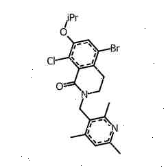 Cc1cc(C)c(CN2CCc3c(Br)cc(OC(C)C)c(Cl)c3C2=O)c(C)n1